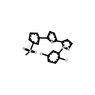 CS(=O)(=O)c1cccc(-c2ccc(-c3ccnn3-c3cc(Cl)ccc3Cl)s2)c1